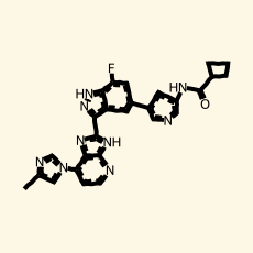 Cc1cn(-c2ccnc3[nH]c(-c4n[nH]c5c(F)cc(-c6cncc(NC(=O)C7CCC7)c6)cc45)nc23)cn1